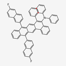 Fc1ccc2cc(-c3c4ccccc4c(-c4ccc5cc(F)ccc5c4)c4cc5c(cc34)c(-c3ccccc3)c(N(c3ccccc3)c3ccccc3)c3ccccc35)ccc2c1